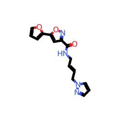 O=C(NCC=CCn1cccn1)c1cc(-c2ccco2)on1